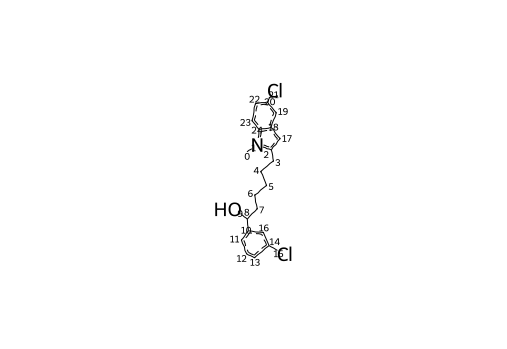 Cn1c(CCCCCC(O)c2cccc(Cl)c2)cc2cc(Cl)ccc21